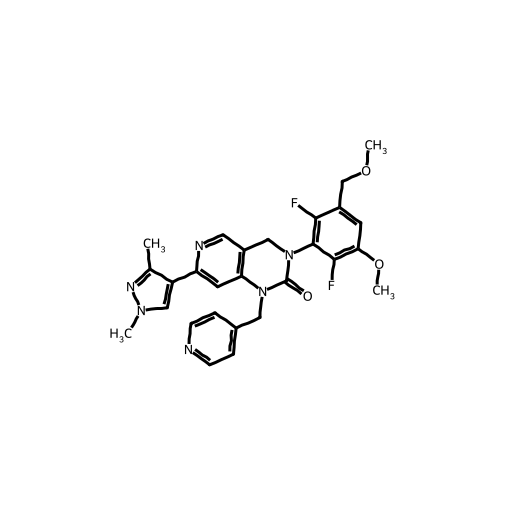 COCc1cc(OC)c(F)c(N2Cc3cnc(-c4cn(C)nc4C)cc3N(Cc3ccncc3)C2=O)c1F